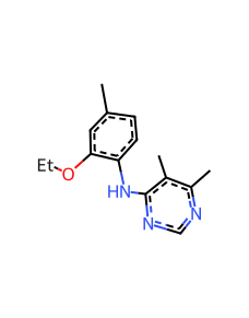 CCOc1cc(C)ccc1Nc1ncnc(C)c1C